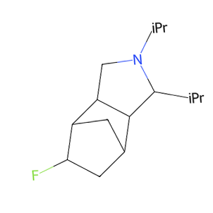 CC(C)C1C2C3CC(F)C(C3)C2CN1C(C)C